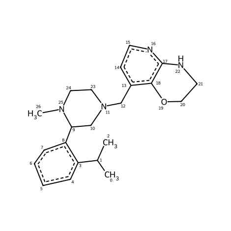 CC(C)c1ccccc1C1CN(Cc2ccnc3c2OCCN3)CCN1C